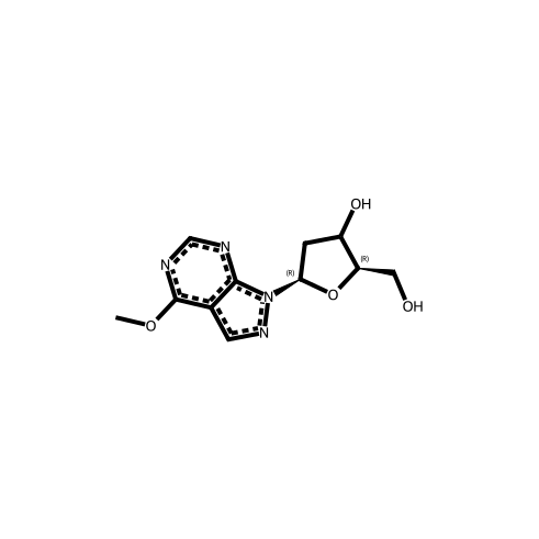 COc1ncnc2c1cnn2[C@H]1CC(O)[C@@H](CO)O1